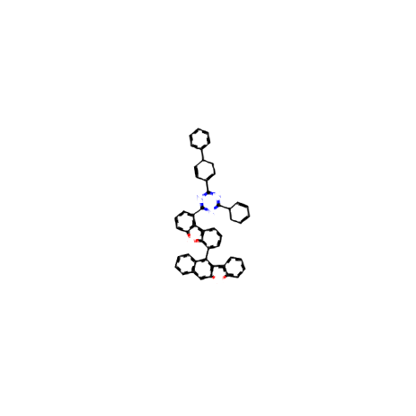 C1=CCC(c2nc(C3=CCC(c4ccccc4)C=C3)nc(-c3cccc4oc5c(-c6c7ccccc7cc7oc8ccccc8c67)cccc5c34)n2)C=C1